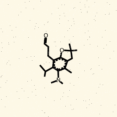 Cc1c2c(c(CCC=O)c(C(C)C)c1N(C)C)OC(C)(C)C2